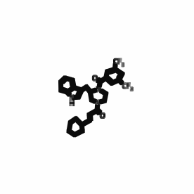 O=C(/C=C/C1CCCCC1)N1CCN(C(=O)c2cc(C(F)(F)F)cc(C(F)(F)F)c2)C(Cc2c[nH]c3ccccc23)C1